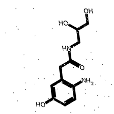 Nc1ccc(O)cc1CC(=O)NCC(O)CO